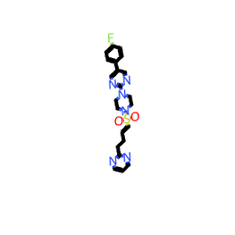 O=S(=O)(C=CCCc1ncccn1)N1CCN(c2ncc(-c3ccc(F)cc3)cn2)CC1